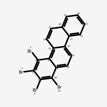 Brc1c(Br)c(Br)c2c(ccc3c4ccccc4ccc32)c1Br